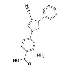 N#CC1=CN(c2ccc(C(=O)O)c(N)c2)CC1c1ccccc1